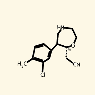 Cc1ccc(C2CNCCO[C@@H]2CC#N)cc1Cl